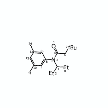 CCC(CC)N(C(=O)CC(C)(C)C)c1cc(C)cc(C)c1